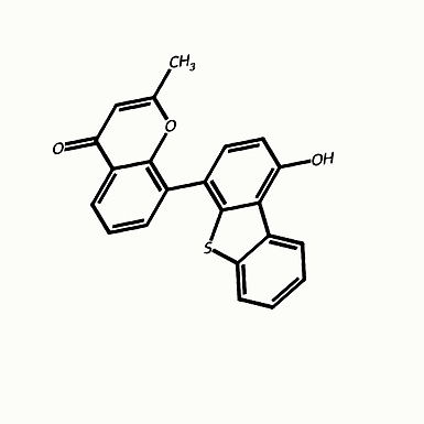 Cc1cc(=O)c2cccc(-c3ccc(O)c4c3sc3ccccc34)c2o1